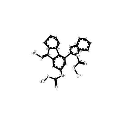 CC(C)(C)OC(=O)Nc1cc2c(c(-c3nc4ccccc4n3C(=O)OC(C)(C)C)c1)-c1ccccc1C2=NO